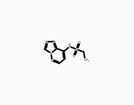 CCS(=O)(=O)Nc1c[c]nn2cnnc12